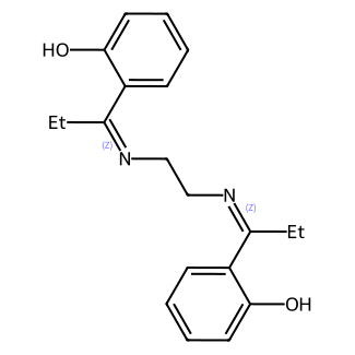 CC/C(=N/CC/N=C(/CC)c1ccccc1O)c1ccccc1O